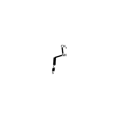 CNC=C=S